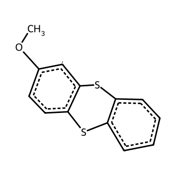 COc1[c]c2c(cc1)Sc1ccccc1S2